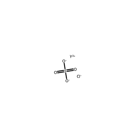 O=S(=O)([O-])[O-].[Cl-].[Y+3]